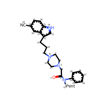 CCCC(C)N(C(=O)CN1CCN(CCCc2c[nH]c3ccc(C#N)cc23)CC1)c1ccccc1